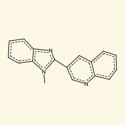 Cn1c(-c2cnc3ccccc3c2)nc2ccccc21